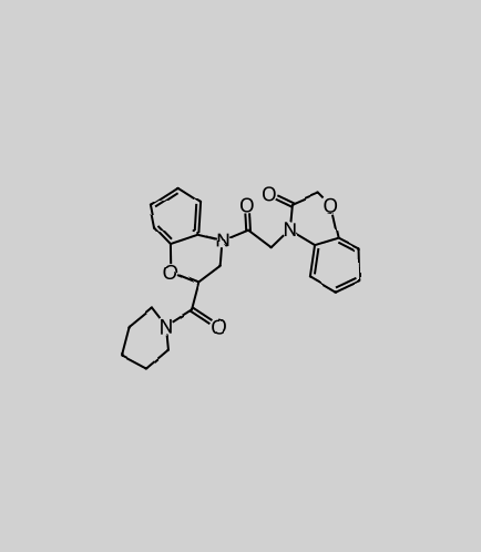 O=C(C1CN(C(=O)CN2C(=O)COc3ccccc32)c2ccccc2O1)N1CCCCC1